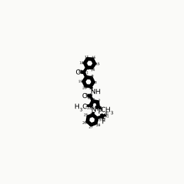 Cc1cc(C(=O)Nc2ccc(C(=O)c3ccccc3)cc2)c(C)n1-c1ccccc1C(F)(F)F